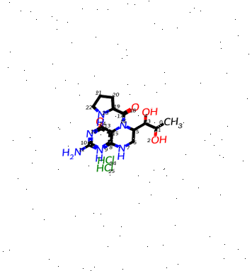 CC(O)C(O)C1CNc2[nH]c(N)nc(=O)c2N1C(=O)C1CCCN1.Cl.Cl